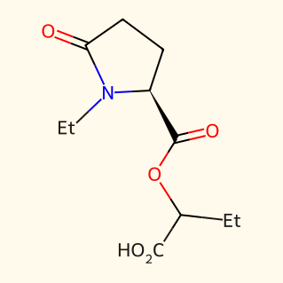 CCC(OC(=O)[C@@H]1CCC(=O)N1CC)C(=O)O